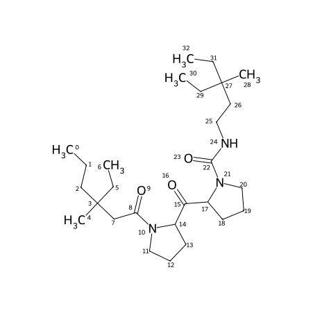 CCCC(C)(CC)CC(=O)N1CCCC1C(=O)C1CCCN1C(=O)NCCC(C)(CC)CC